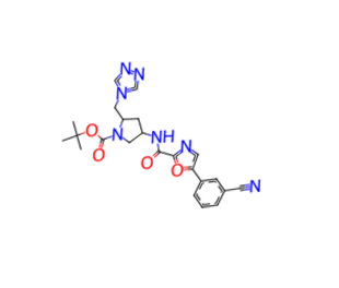 CC(C)(C)OC(=O)N1CC(NC(=O)c2ncc(-c3cccc(C#N)c3)o2)CC1Cn1cnnc1